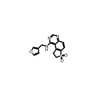 O=S1(=O)CCc2c1ccc1ncnc(NCc3ccoc3)c21